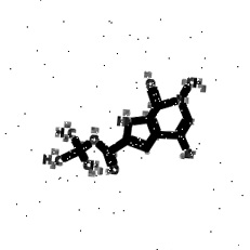 Cn1cc(Br)c2cc(C(=O)OC(C)(C)C)[nH]c2c1=O